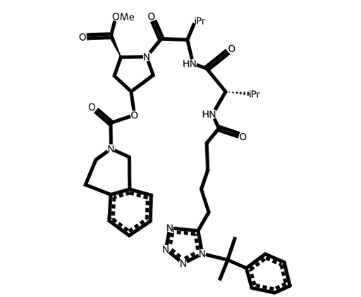 COC(=O)[C@@H]1CC(OC(=O)N2CCc3ccccc3C2)CN1C(=O)C(NC(=O)[C@@H](NC(=O)CCCCc1nnnn1C(C)(C)c1ccccc1)C(C)C)C(C)C